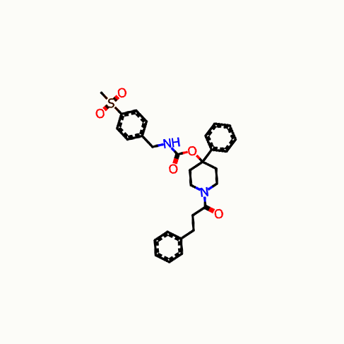 CS(=O)(=O)c1ccc(CNC(=O)OC2(c3ccccc3)CCN(C(=O)CCc3ccccc3)CC2)cc1